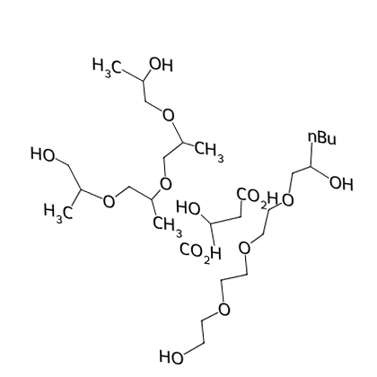 CC(O)COC(C)COC(C)COC(C)CO.CCCCC(O)COCCOCCOCCO.O=C(O)CC(O)C(=O)O